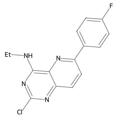 CCNc1nc(Cl)nc2ccc(-c3ccc(F)cc3)nc12